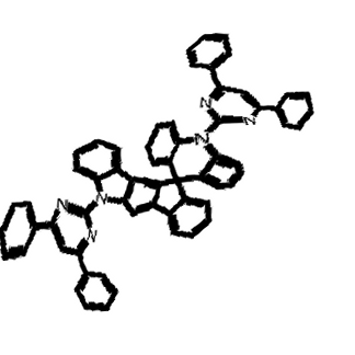 c1ccc(-c2cc(-c3ccccc3)nc(N3c4ccccc4C4(c5ccccc5-c5cc6c(cc54)c4ccccc4n6-c4nc(-c5ccccc5)cc(-c5ccccc5)n4)c4ccccc43)n2)cc1